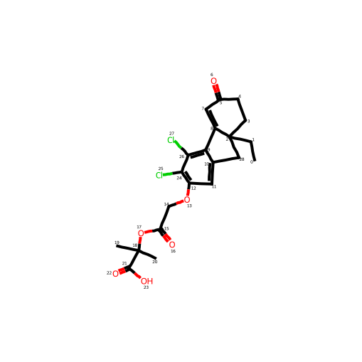 CCC12CCC(=O)C=C1c1c(cc(OCC(=O)OC(C)(C)C(=O)O)c(Cl)c1Cl)C2